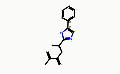 C=C(C)C(=C)CC(C)c1ncc(-c2ccccc2)[nH]1